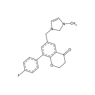 CN1C=CN(Cc2cc3c(c(-c4ccc(F)cc4)c2)OCCC3=O)C1